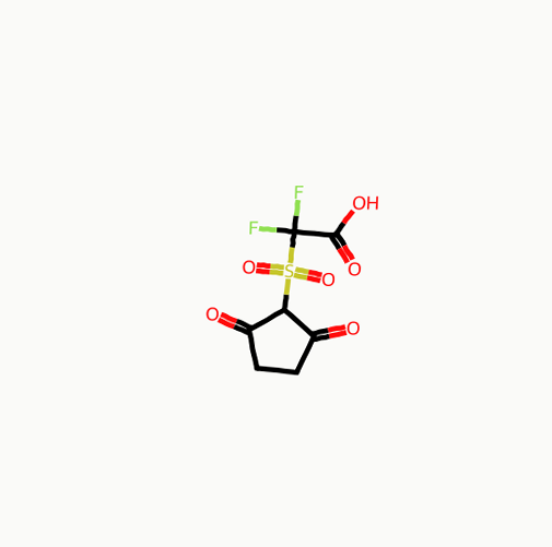 O=C1CCC(=O)C1S(=O)(=O)C(F)(F)C(=O)O